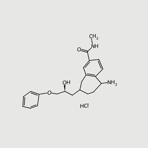 CNC(=O)c1ccc2c(c1)CC(C[C@H](O)COc1ccccc1)CCC2N.Cl